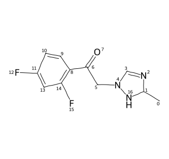 CC1N=CN(CC(=O)c2ccc(F)cc2F)N1